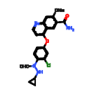 COc1cc2nccc(Oc3ccc(N(C=O)NC4CC4)c(Cl)c3)c2cc1C(N)=O